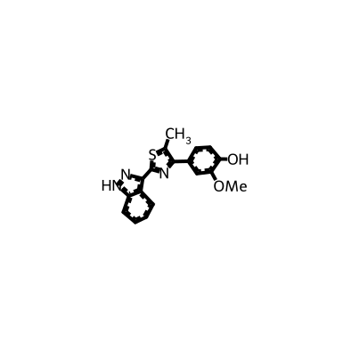 COc1cc(-c2nc(-c3n[nH]c4ccccc34)sc2C)ccc1O